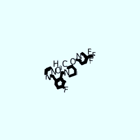 C[C@H]1[C@H](Oc2ccc(C(F)(F)F)cn2)CCCN1C(=O)c1cc(F)ccc1-c1ncccn1